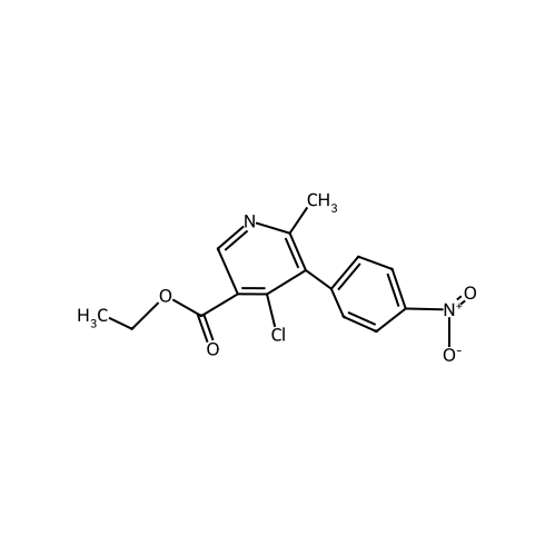 CCOC(=O)c1cnc(C)c(-c2ccc([N+](=O)[O-])cc2)c1Cl